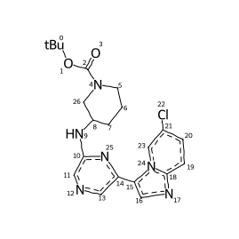 CC(C)(C)OC(=O)N1CCCC(Nc2cncc(-c3cnc4ccc(Cl)cn34)n2)C1